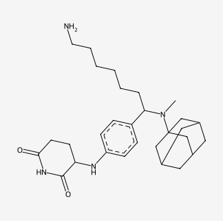 CN(C(CCCCCCN)c1ccc(NC2CCC(=O)NC2=O)cc1)C12CC3CC(CC(C3)C1)C2